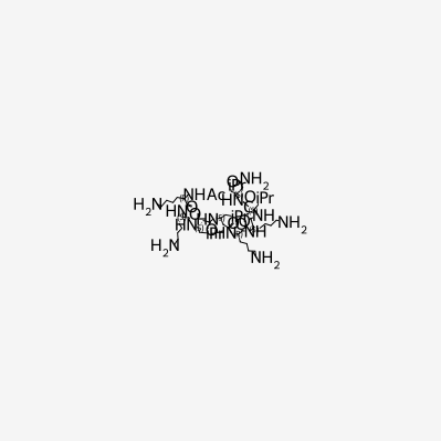 CC(=O)N[C@H](CCCCN)C(=O)N[C@@H](CCCCN)C(=O)N[C@H](CC(=O)N[C@H](CC(=O)N[C@H](CCCCN)C(=O)N[C@@H](CCCCN)C(=O)N[C@H](CC(=O)N[C@H](CC(N)=O)CC(C)C)CC(C)C)CC(C)C)CC(C)C